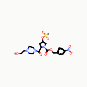 CS(=O)(=O)OC1CC(C(=O)N2CCN(CCO)CC2)N(C(=O)OCc2ccc([N+](=O)[O-])cc2)C1